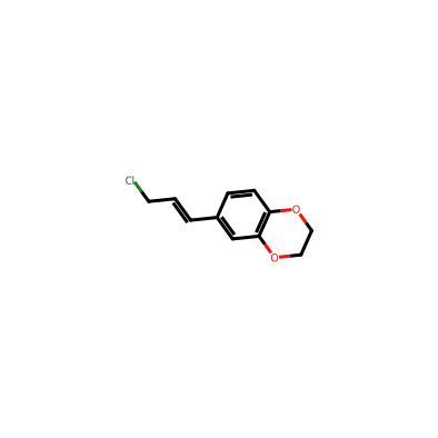 ClC/C=C/c1ccc2c(c1)OCCO2